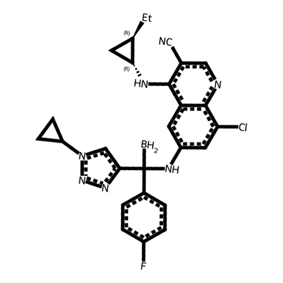 BC(Nc1cc(Cl)c2ncc(C#N)c(N[C@@H]3C[C@H]3CC)c2c1)(c1ccc(F)cc1)c1cn(C2CC2)nn1